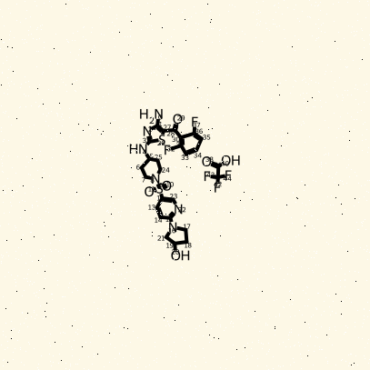 Nc1nc(NC2CCN(S(=O)(=O)c3ccc(N4CCC(O)C4)nc3)CC2)sc1C(=O)c1c(F)cccc1F.O=C(O)C(F)(F)F